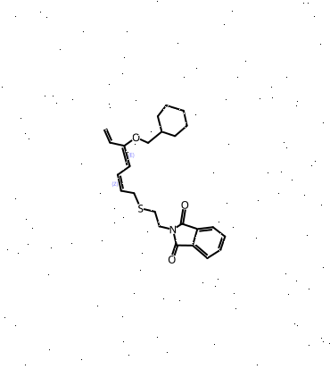 C=C/C(=C\C=C/CSCCN1C(=O)c2ccccc2C1=O)OCC1CCCCC1